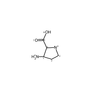 NC1CC[N]C1C(=O)O